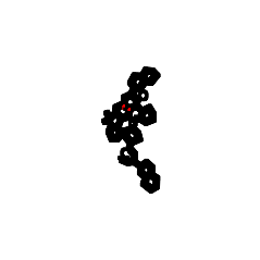 CC1(C)c2ccccc2-c2c(N(c3ccc(-c4cccc(-c5ccc6ccccc6c5)c4)cc3)c3ccccc3-c3cccc4c3oc3c5ccccc5ccc43)cccc21